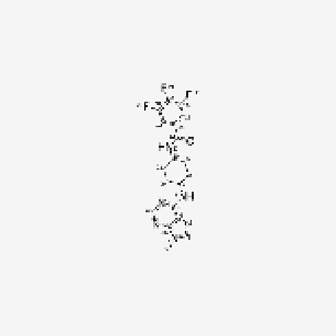 Cn1ccc2c(NC3CCC(NC(=O)c4cc(F)c(F)c(F)c4)CC3)ncnc21